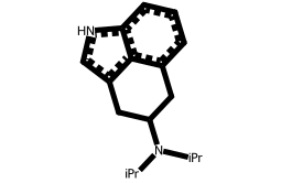 CC(C)N(C(C)C)C1Cc2cccc3[nH]cc(c23)C1